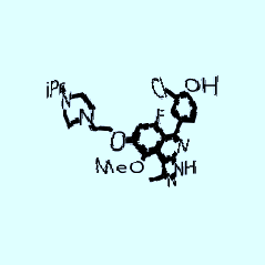 COc1c(OCCN2CCN(C(C)C)CC2)cc(F)c2c(-c3ccc(O)c(Cl)c3)nc3[nH]nc(C)c3c12